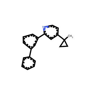 CC1(c2ccnc(-c3cccc(-c4ccccc4)c3)c2)CC1